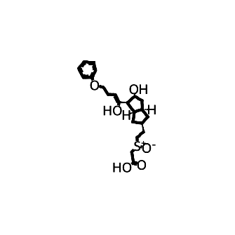 O=C(O)C[S+]([O-])CC[C@@H]1C[C@@H]2C[C@@H](O)[C@H](C(O)=CCCOc3ccccc3)[C@@H]2C1